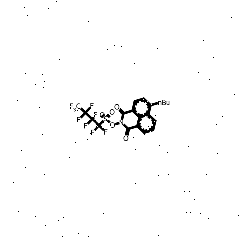 CCCCc1ccc2c3c(cccc13)C(=O)N(OS(=O)(=O)C(F)(F)C(F)(F)C(F)(F)C(F)(F)F)C2=O